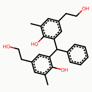 Cc1cc(CCO)cc(C(c2ccccc2)c2cc(CCO)cc(C)c2O)c1O